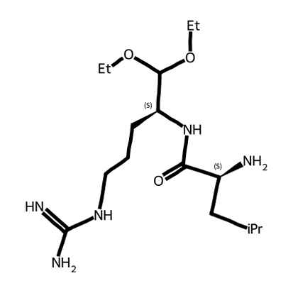 CCOC(OCC)[C@H](CCCNC(=N)N)NC(=O)[C@@H](N)CC(C)C